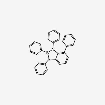 c1ccc(B2N(c3ccccc3)c3cccc(-c4ccccc4)c3N2c2ccccc2)cc1